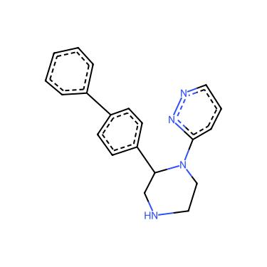 c1ccc(-c2ccc(C3CNCCN3c3cccnn3)cc2)cc1